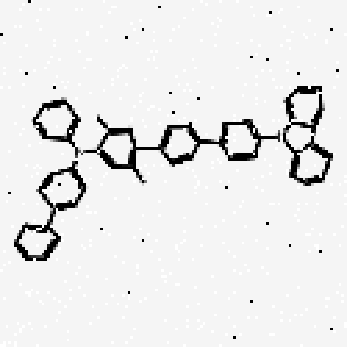 Cc1cc(N(c2ccccc2)c2ccc(-c3ccccc3)cc2)c(C)cc1-c1ccc(-c2ccc(-n3c4ccccc4c4ccccc43)cc2)cc1